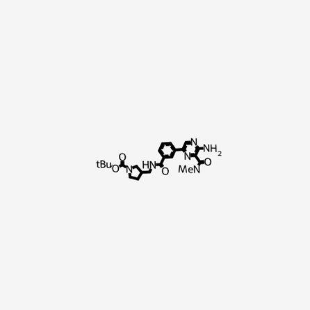 CNC(=O)c1nc(-c2cccc(C(=O)NCC3CCN(C(=O)OC(C)(C)C)C3)c2)cnc1N